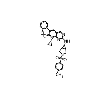 Cc1ccc(S(=O)(=O)N2CC3C(C2)C3Nc2ncc3cc(-c4ccccc4Cl)c(=O)n(C4CC4)c3n2)cc1